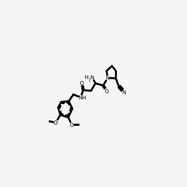 COc1ccc(CNC(=O)CC(N)C(=O)N2CCCC2C#N)cc1OC